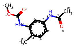 COC(=O)Nc1cc(NC(C)=O)ccc1C